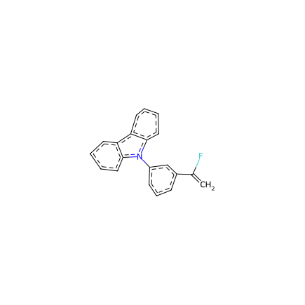 C=C(F)c1cccc(-n2c3ccccc3c3ccccc32)c1